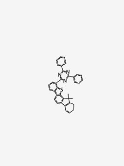 CC1(C)C2=C(C=CCC2)c2ccc3c(sc4c(-c5nc(-c6ccccc6)nc(-c6ccccc6)n5)cccc43)c21